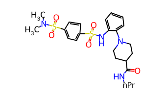 CCCNC(=O)C1CCN(c2ccccc2NS(=O)(=O)c2ccc(S(=O)(=O)N(C)C)cc2)CC1